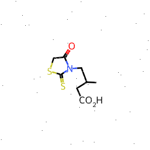 CC(CC(=O)O)CN1C(=O)CSC1=S